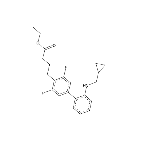 CCOC(=O)CCCc1c(F)cc(-c2ccccc2NCC2CC2)cc1F